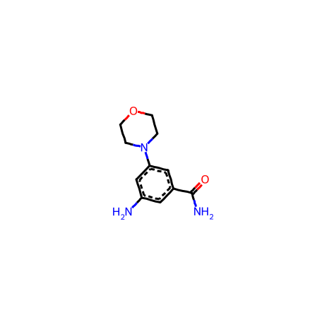 NC(=O)c1cc(N)cc(N2CCOCC2)c1